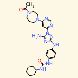 CC(=O)N1CCCN(c2cc(-n3nc(Nc4ccc(NC(=O)NC5CCCCC5)cc4)nc3N)ncn2)CC1